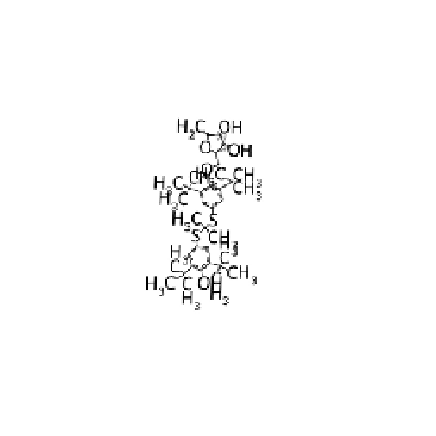 C=C1OC(COc2c(C(C)(C)C)cc(SC(C)(C)Sc3cc(C(C)(C)C)c(O)c(C(C)(C)C)c3)cc2C(C)(C)C)[C@@H](O)[C@H]1O